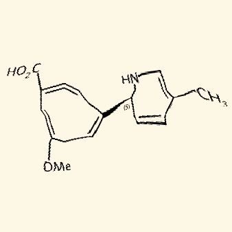 COc1cc(C(=O)O)cc([C@@H]2C=CC(C)=CN2)c1